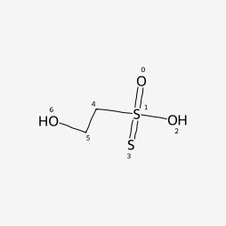 O=S(O)(=S)CCO